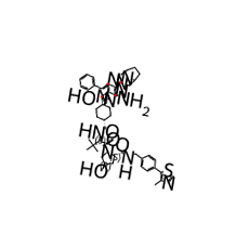 Cc1ncsc1-c1ccc(CNC(=O)[C@@H]2C[C@@H](O)CN2C(=O)[C@@H](NC(=O)[C@H]2CC[C@H](Cc3cnc(N4C5CCC4CN(c4cc(-c6ccccc6O)nnc4N)C5)nc3)CC2)C(C)(C)C)cc1